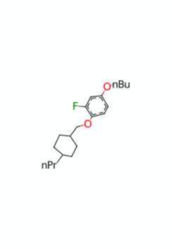 CCCCOc1ccc(OCC2CCC(CCC)CC2)c(F)c1